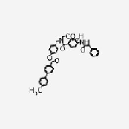 Cc1ccc(-c2ccc(C(=O)Oc3ccc(CN(CC(=O)O)C(=O)c4ccc(NC(=O)Cc5ccccc5)cc4)cc3)cc2)cc1